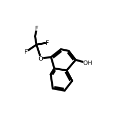 Oc1ccc(OC(F)(F)CF)c2ccccc12